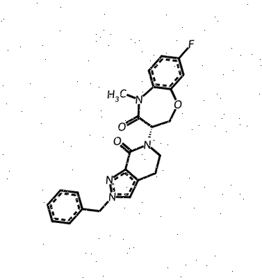 CN1C(=O)[C@@H](N2CCc3cn(Cc4ccccc4)nc3C2=O)COc2cc(F)ccc21